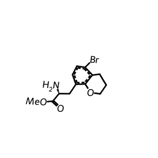 COC(=O)[C@@H](N)Cc1ccc(Br)c2c1OCCC2